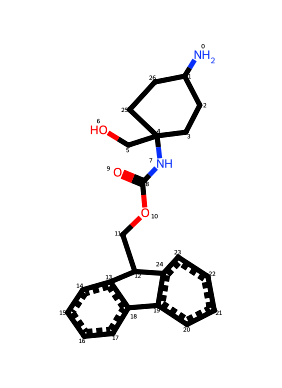 NC1CCC(CO)(NC(=O)OCC2c3ccccc3-c3ccccc32)CC1